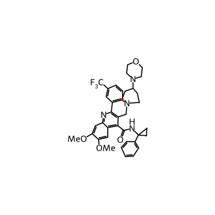 COc1cc2nc(-c3cccc(C(F)(F)F)c3)c(CN3CCC(N4CCOCC4)CC3)c(C(=O)NC3(c4ccccc4)CC3)c2cc1OC